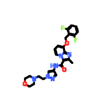 Cc1nc2c(OCc3c(F)cccc3F)cccn2c1C(=O)Nc1cnn(CCN2CCOCC2)c1